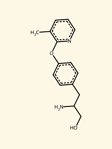 Cc1cccnc1Oc1ccc(CC(N)CO)cc1